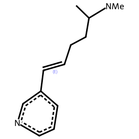 CNC(C)CC/C=C/c1cccnc1